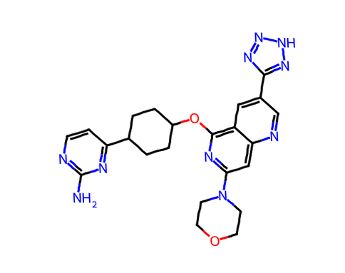 Nc1nccc(C2CCC(Oc3nc(N4CCOCC4)cc4ncc(-c5nn[nH]n5)cc34)CC2)n1